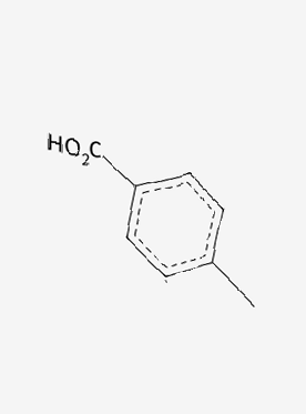 Cc1[c]cc(C(=O)O)cc1